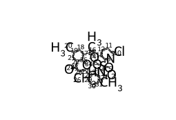 CC(=O)NS(=O)(=O)c1nc(Cl)ccc1O[C@H](C)c1cc(C)cc2c(=O)c(C)c(-c3ccccc3)oc12